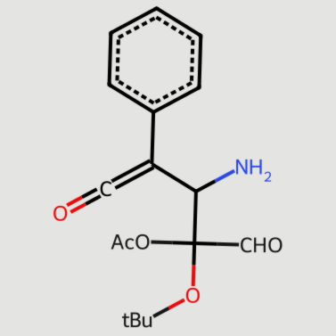 CC(=O)OC(C=O)(OC(C)(C)C)C(N)C(=C=O)c1ccccc1